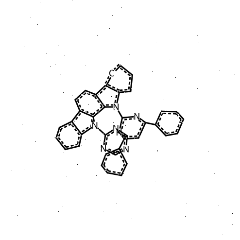 c1ccc(-c2cc(-c3ccccc3)nc(-n3c4ccccc4c4ccc5c6ccccc6n(-c6ncncn6)c5c43)n2)cc1